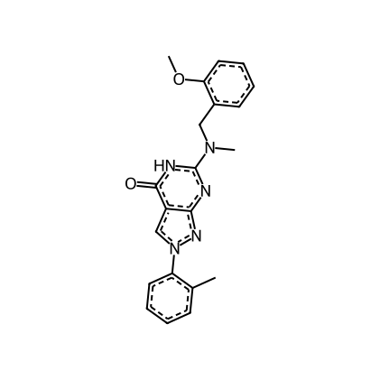 COc1ccccc1CN(C)c1nc2nn(-c3ccccc3C)cc2c(=O)[nH]1